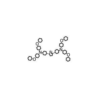 Cn1c(-c2ccc(N(c3ccc(Oc4ccccc4)cc3)c3ccc(Oc4ccccc4)cc3)cc2)ccc1-c1ccc(N(c2ccc(Oc3ccccc3)cc2)c2ccc(Oc3ccccc3)cc2)cc1